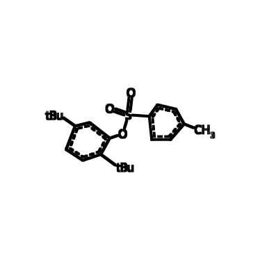 Cc1ccc(S(=O)(=O)Oc2cc(C(C)(C)C)ccc2C(C)(C)C)cc1